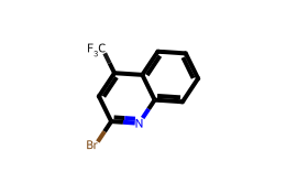 FC(F)(F)c1cc(Br)nc2ccccc12